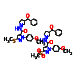 COc1ccc(-n2nc(S(C)(=O)=O)cc2C(=O)NN2CCC(C(=O)c3ccccc3)C2)cc1.COc1ccc(-n2nc(SC)cc2C(=O)NN2CCC(C(=O)c3ccccc3)C2)cc1